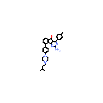 Cc1ccc(-c2nc(N)nc3c2C(=O)c2cccc(-c4ccc(N5CCN(CCC(C)C)CC5)cc4)c2-3)cc1